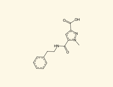 Cn1nc(C(=O)O)cc1C(=O)NCCc1ccccc1